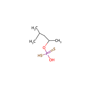 CC(C)CC(C)OP(O)(=S)S